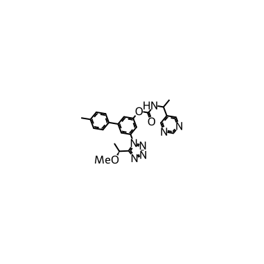 CO[C@@H](C)c1nnnn1-c1cc(OC(=O)NC(C)c2cncnc2)cc(-c2ccc(C)cc2)c1